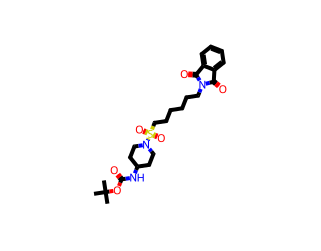 CC(C)(C)OC(=O)NC1CCN(S(=O)(=O)CCCCCCN2C(=O)c3ccccc3C2=O)CC1